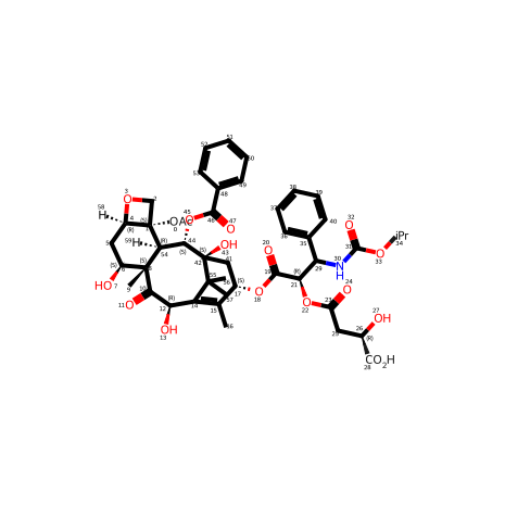 CC(=O)O[C@@]12CO[C@@H]1C[C@H](O)[C@@]1(C)C(=O)[C@H](O)C3=C(C)[C@@H](OC(=O)[C@H](OC(=O)C[C@@H](O)C(=O)O)C(NC(=O)OC(C)C)c4ccccc4)C[C@@](O)([C@@H](OC(=O)c4ccccc4)[C@H]21)C3(C)C